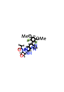 C=C(C)C(=O)NC1COCC1Nc1cc2c(cn1)cc(-c1c(F)c(OC)cc(OC)c1F)c1ncnn12